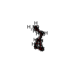 C=CC1=C(C)c2cc3[nH]c(cc4nc(cc5[nH]c(cc1n2)c(C)c5CCC(=O)NNC(=O)OCCSSC[C@@H](NC(=O)c1ccc(NCc2cnc5nc(N)[nH]c(=O)c5n2)cc1)C(=O)O)C(CCC(C)=O)=C4C)[C@@]1(C)C3=CC=C(C(=C)OC)[C@H]1C(=O)OC